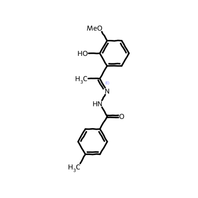 COc1cccc(/C(C)=N/NC(=O)c2ccc(C)cc2)c1O